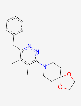 Cc1c(Cc2ccccc2)nnc(N2CCC3(CC2)OCCO3)c1C